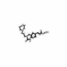 CC(C)(C)OC(=O)/C=C/c1cnc2c(c1)CN(CCCN1CCOCC1)C(=O)N2